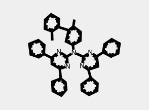 Cc1ccccc1-c1cc(N(c2nc(-c3ccccc3)cc(-c3ccccc3)n2)c2nc(-c3ccccc3)cc(-c3ccccc3)n2)ccc1C